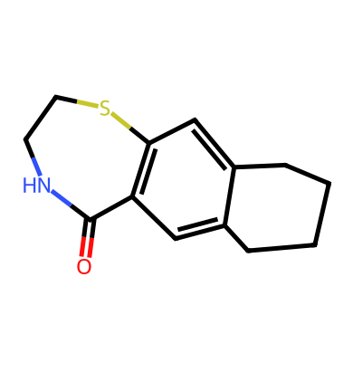 O=C1NCCSc2cc3c(cc21)CCCC3